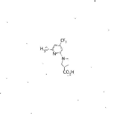 Cc1cc(C(F)(F)F)cc(N2CCC(C(=O)O)C2)n1